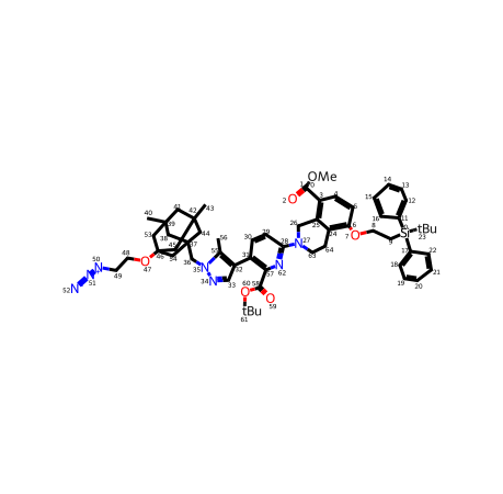 COC(=O)c1ccc(OCC[Si](c2ccccc2)(c2ccccc2)C(C)(C)C)c2c1CN(c1ccc(-c3cnn(CC45CC6(C)CC(C)(C4)CC(OCCN=[N+]=[N-])(C6)C5)c3C)c(C(=O)OC(C)(C)C)n1)CC2